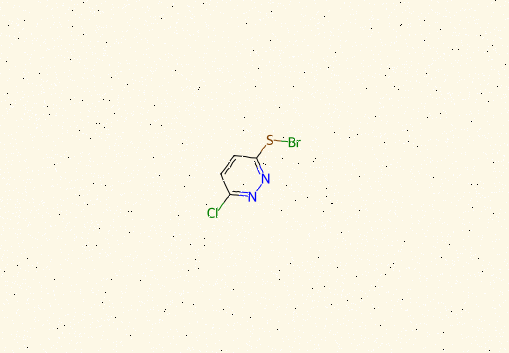 Clc1ccc(SBr)nn1